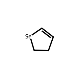 C1=C[Se]CC1